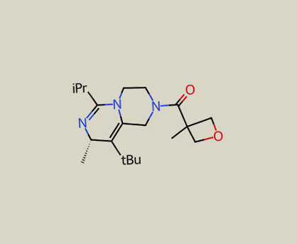 CC(C)C1=N[C@@H](C)C(C(C)(C)C)=C2CN(C(=O)C3(C)COC3)CCN12